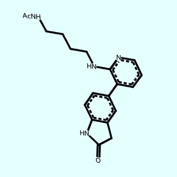 CC(=O)NCCCCNc1ncccc1-c1ccc2c(c1)CC(=O)N2